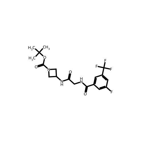 CC(C)(C)OC(=O)N1CC(NC(=O)CNC(=O)c2cc(F)cc(C(F)(F)F)c2)C1